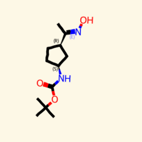 C/C(=N\O)[C@@H]1CC[C@H](NC(=O)OC(C)(C)C)C1